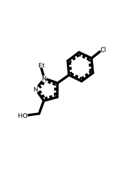 CCn1nc(CO)cc1-c1ccc(Cl)cc1